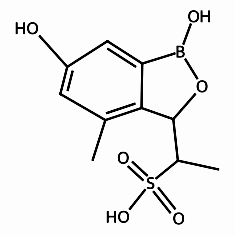 Cc1cc(O)cc2c1C(C(C)S(=O)(=O)O)OB2O